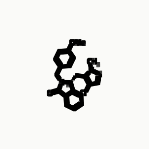 COc1ccc(CN2C(=O)c3ccccc3[C@H]2Cc2c(Cl)cnn2C)cc1